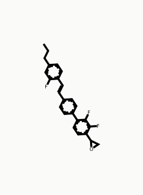 CCCc1ccc(/C=C/c2ccc(-c3ccc(C4CO4)c(F)c3F)cc2)c(F)c1